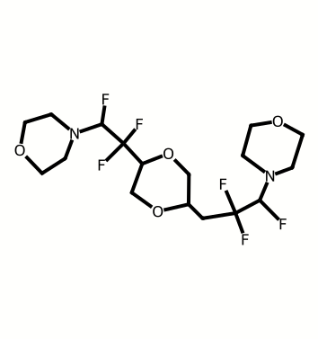 FC(N1CCOCC1)C(F)(F)CC1COC(C(F)(F)C(F)N2CCOCC2)CO1